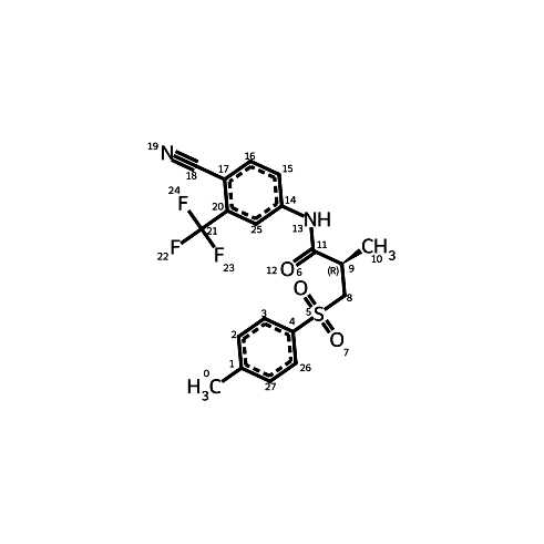 Cc1ccc(S(=O)(=O)C[C@H](C)C(=O)Nc2ccc(C#N)c(C(F)(F)F)c2)cc1